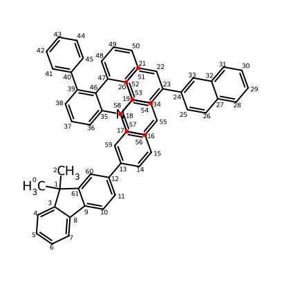 CC1(C)c2ccccc2-c2ccc(-c3cccc(N(c4cccc(-c5ccc6ccccc6c5)c4)c4cccc(-c5ccccc5)c4-c4ccccc4-c4ccccc4)c3)cc21